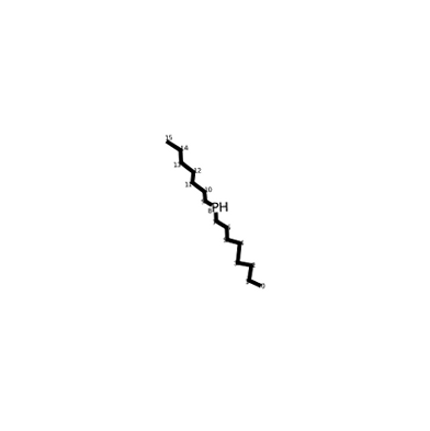 CCCCCCCCPCCCCCCC